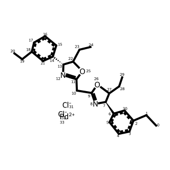 CCc1cccc([C@H]2N=C(CC3=N[C@H](c4cccc(CC)c4)C(CC)O3)OC2CC)c1.[Cl-].[Cl-].[Pd+2]